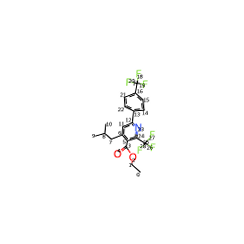 CCOC(=O)c1c(CC(C)C)cc(-c2ccc(C(F)(F)F)cc2)nc1C(F)(F)F